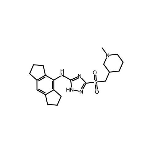 CN1CCCC(CS(=O)(=O)c2n[nH]c(Nc3c4c(cc5c3CCC5)CCC4)n2)C1